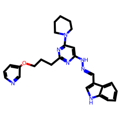 C(=N\Nc1cc(N2CCCCC2)nc(CCCOc2cccnc2)n1)/c1c[nH]c2ccccc12